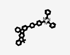 CC1(C)C2=CCCC=C2c2cc3c(cc21)-c1cc(C2C=CC(c4ccc(-c5nc(-c6ccccc6)nc(-c6ccccc6)n5)cc4)=CC2)ccc1C31CCCCC1